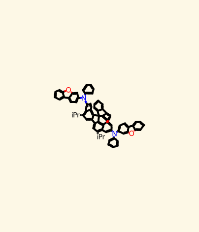 CC(C)c1cc2c(c3ccc(N(c4ccccc4)c4ccc5c(c4)oc4ccccc45)cc13)C1(c3ccccc3-c3ccccc31)c1c-2cc(C(C)C)c2cc(N(c3ccccc3)c3ccc4c(c3)oc3ccccc34)ccc12